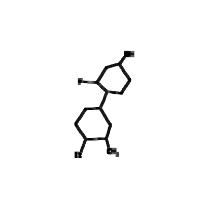 CCC1CCC(C2CCC(O)CC2F)CC1C